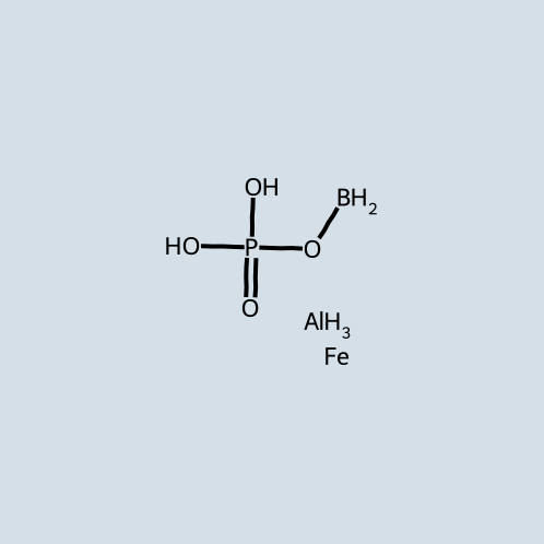 BOP(=O)(O)O.[AlH3].[Fe]